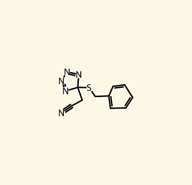 N#CCC1(SCc2ccccc2)N=NN=N1